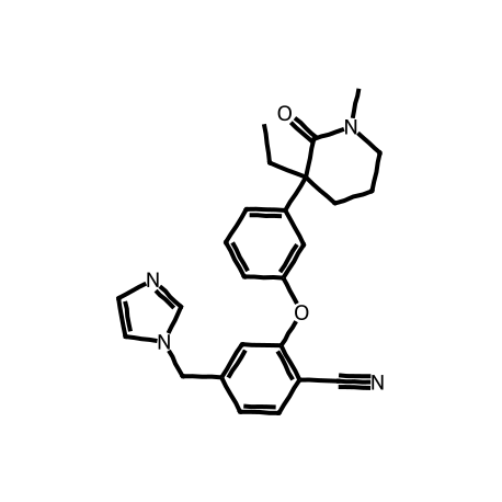 CCC1(c2cccc(Oc3cc(Cn4ccnc4)ccc3C#N)c2)CCCN(C)C1=O